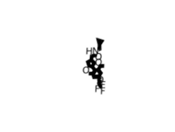 CCc1cc(OCC(F)(F)F)cc(C)c1C1C(=O)CC(CC(=O)NCC2CC2)C1=O